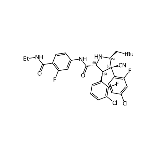 CCNC(=O)c1ccc(NC(=O)[C@@H]2N[C@@H](CC(C)(C)C)[C@](C#N)(c3ccc(Cl)cc3F)[C@H]2c2cccc(Cl)c2F)cc1F